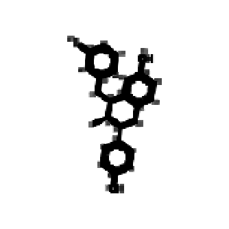 C[C@@H]1[C@H](c2ccc(O)cc2)Cc2ccc(O)cc2[C@@H]1Cc1cccc(F)c1